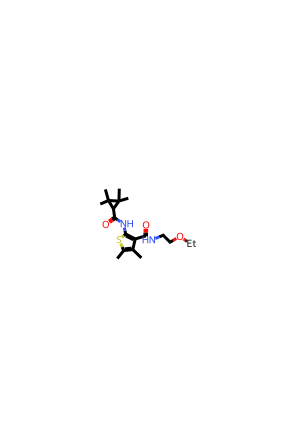 CCOCCNC(=O)c1c(NC(=O)C2C(C)(C)C2(C)C)sc(C)c1C